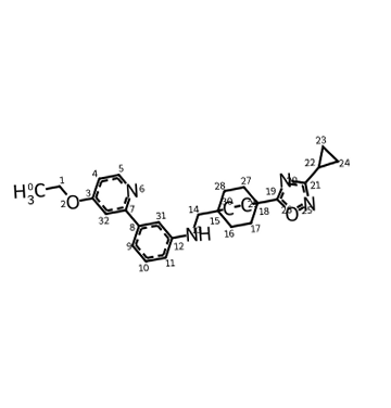 CCOc1ccnc(-c2cccc(NCC34CCC(c5nc(C6CC6)no5)(CC3)CC4)c2)c1